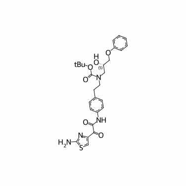 CC(C)(C)OC(=O)N(CCc1ccc(NC(=O)C(=O)c2csc(N)n2)cc1)C[C@H](O)COc1ccccc1